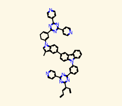 C=C/C=C(\C=C)c1nc(-c2ccncc2)nc(-c2cccc(-n3c4ccccc4c4cc(-c5ccc6c(c5)c(C)cn6C5=CC(c6nc(-c7ccncc7)nc(-c7ccncc7)n6)=CCC5)ccc43)c2)n1